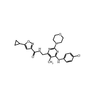 Cc1c(CNC(=O)c2cc(C3CC3)on2)nc(N2CCOCC2)nc1Nc1ccc(Cl)cc1